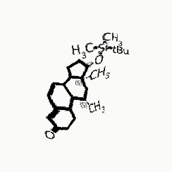 C[C@H]1C[C@@]2(C)C(CC[C@@H]2O[Si](C)(C)C(C)(C)C)C2C=CC3=CC(=O)CCC3C21